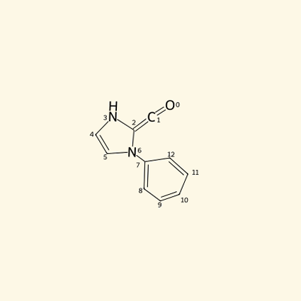 O=C=C1NC=CN1c1ccccc1